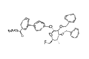 CNC(=O)c1cccc(-c2ccc(O[C@H]3O[C@H](CF)[C@@H](C)[C@H](OCc4ccccc4)[C@@H]3OCc3ccccc3)cc2)c1